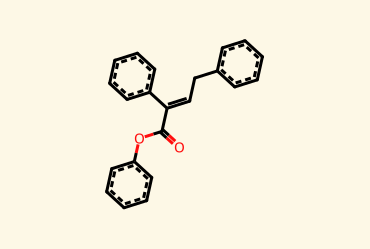 O=C(Oc1ccccc1)C(=CCc1ccccc1)c1ccccc1